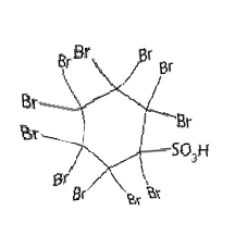 O=S(=O)(O)C1(Br)C(Br)(Br)C(Br)(Br)C(Br)(Br)C(Br)(Br)C1(Br)Br